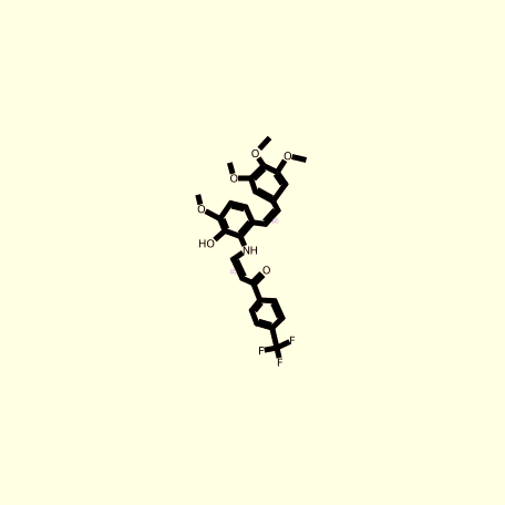 COc1ccc(/C=C\c2cc(OC)c(OC)c(OC)c2)c(N/C=C\C(=O)c2ccc(C(F)(F)F)cc2)c1O